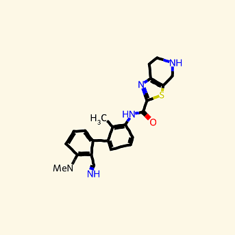 CNc1cccc(-c2cccc(NC(=O)c3nc4c(s3)CNCC4)c2C)c1C=N